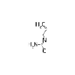 C=CC/N=C(\N)Cl